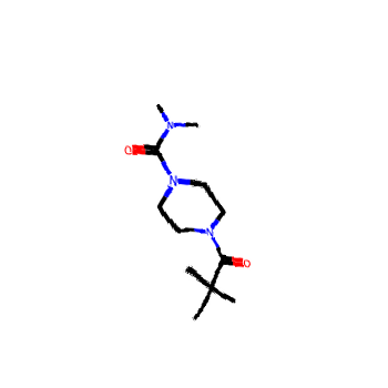 CN(C)C(=O)N1CCN(C(=O)C(C)(C)C)CC1